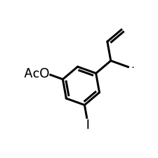 [CH2]C(C=C)c1cc(I)cc(OC(C)=O)c1